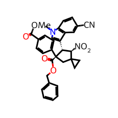 COC(=O)c1ccc([C@@]2(C(=O)OCc3ccccc3)CC3(CC3)[C@H]([N+](=O)[O-])[C@H]2c2cn(C)c3ccc(C#N)cc23)cc1